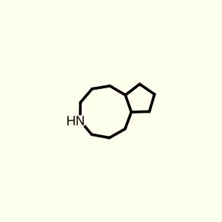 C1CNCCCC2CCCC2C1